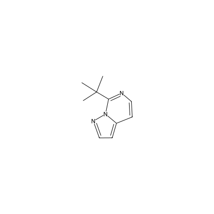 CC(C)(C)c1nccc2ccnn12